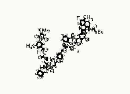 CCCCC(=O)N[C@H]1CCc2c(C)c(F)cc3nc4c(c1c23)Cn1c-4cc2c(c1=O)COC(=O)[C@@]2(CC)OC(=O)c1ccccc1CN(C)C(=O)OCc1ccc(NC(=O)CNC(=O)[C@H](Cc2ccccc2)NC(=O)CNC(=O)CNC(=O)c2cc(C)cc(N3C(=O)CC(SC)C3=O)c2)cc1